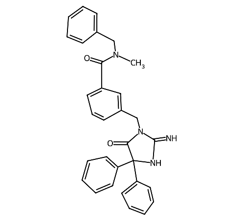 CN(Cc1ccccc1)C(=O)c1cccc(CN2C(=N)NC(c3ccccc3)(c3ccccc3)C2=O)c1